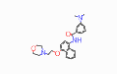 CN(C)c1cccc(C(=O)Nc2ccc(OCCN3CCOCC3)c3ccccc23)c1